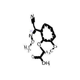 CO/N=C(/C#N)c1cccc(OC)c1OCC(=O)O